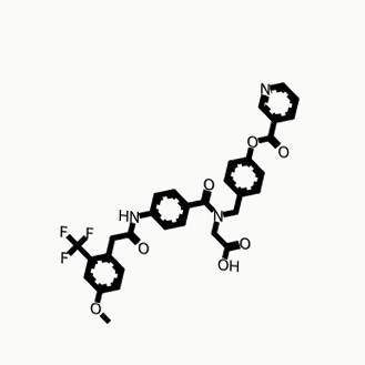 COc1ccc(CC(=O)Nc2ccc(C(=O)N(CC(=O)O)Cc3ccc(OC(=O)c4cccnc4)cc3)cc2)c(C(F)(F)F)c1